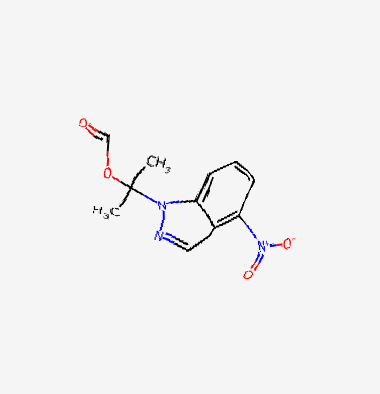 CC(C)(OC=O)n1ncc2c([N+](=O)[O-])cccc21